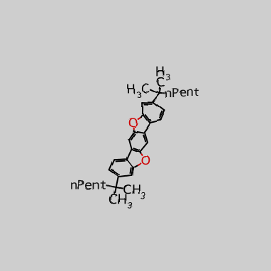 CCCCCC(C)(C)c1ccc2c(c1)oc1cc3c(cc12)oc1cc(C(C)(C)CCCCC)ccc13